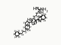 N=C(N)NCCCC(NC(=O)C1CCC2CN(CCCc3ccccc3)CCN21)C(=O)c1nc2ccccc2s1